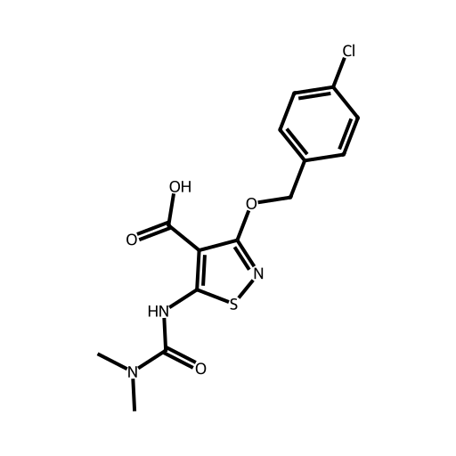 CN(C)C(=O)Nc1snc(OCc2ccc(Cl)cc2)c1C(=O)O